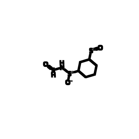 O=[S+]C1CCCC([S+]([O-])N[SH]=O)C1